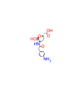 Nc1ccc(CC(=O)N[C@H]2CC[C@@H](CC(=O)O)OB2O)cc1